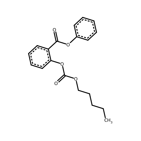 CCCCCOC(=O)Oc1ccccc1C(=O)Oc1ccccc1